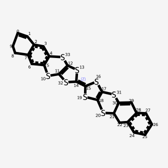 C1=Cc2cc3c(cc2CC1)SC1=C(S/C(=C2\SC4=C(S2)SC2Cc5ccccc5C=C2S4)S1)S3